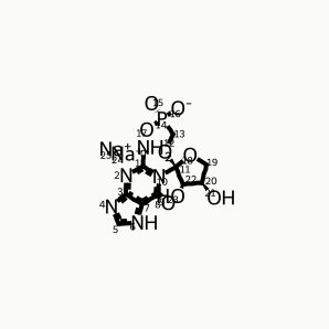 Nc1nc2nc[nH]c2c(=O)n1[C@]1(OCP(=O)([O-])[O-])OC[C@@H](O)[C@H]1O.[Na+].[Na+]